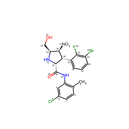 Cc1ccc(Cl)cc1NC(=O)[C@@H]1N[C@@H](CO)[C@@H]([N+](=O)[O-])[C@@H]1c1cccc(Br)c1F